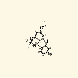 CCOc1cc(Cl)c2c(c1)OC(C)(C)N=C2c1ccc(F)cc1